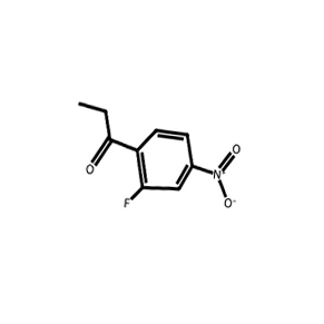 CCC(=O)c1ccc([N+](=O)[O-])cc1F